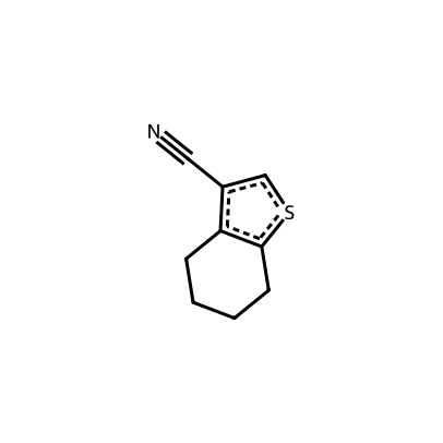 N#Cc1csc2c1CCCC2